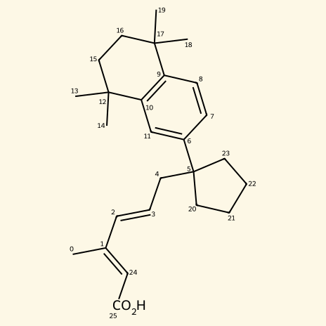 CC(C=CCC1(c2ccc3c(c2)C(C)(C)CCC3(C)C)CCCC1)=CC(=O)O